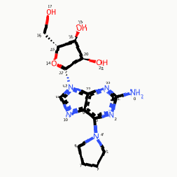 Nc1nc(N2CCCC2)c2ncn([C@@H]3O[C@H](CO)[C@@H](O)[C@H]3O)c2n1